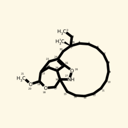 CC[C@]1(C)CCCCCCCCCCCCC23COC(OC)C4CC(=C(ON2)C3C4)C1